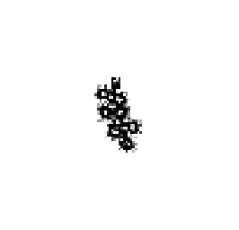 N#Cc1c2ccccc2c(-c2cccc3sc4c(-c5c6c(c(-c7ccccc7)c7ccccc57)CCC=C6)cccc4c23)c2ccccc12